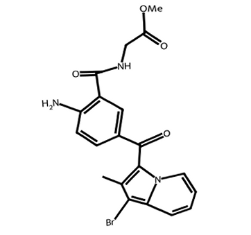 COC(=O)CNC(=O)c1cc(C(=O)c2c(C)c(Br)c3ccccn23)ccc1N